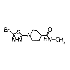 CNC(=O)C1CCN(c2nnc(Br)s2)CC1